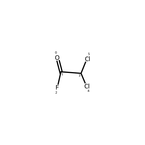 O=C(F)C(Cl)Cl